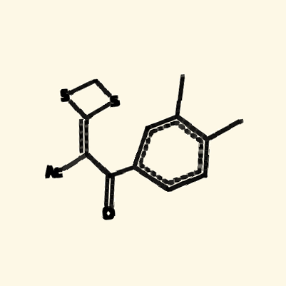 CC(=O)C(C(=O)c1ccc(C)c(C)c1)=C1SCS1